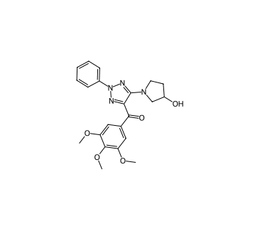 COc1cc(C(=O)c2nn(-c3ccccc3)nc2N2CCC(O)C2)cc(OC)c1OC